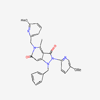 COc1ccc(-n2c(=O)c3c(C)n(Cc4cccc(OC)n4)c(=O)cc3n2Cc2ccccc2)nc1